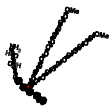 COCCOCCOCCOCCOCCOCCOCCOCCOCCOCCOCCOCCCC1(CCCOCCOCCOCCOCCOCCOCCOCCOCCOCCOCCOCCOC)c2cc(-c3ccc(OCCCCNC(=O)CCC(=O)NCCN)cc3)ccc2-c2ccc(-c3ccc4c(c3)Cc3ccccc3-4)cc21